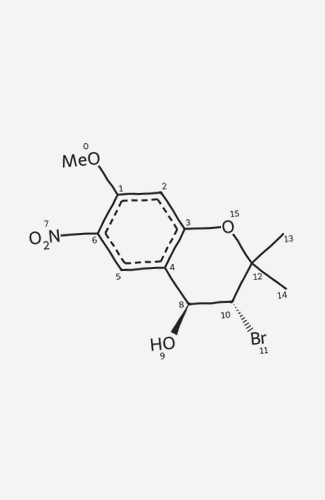 COc1cc2c(cc1[N+](=O)[O-])[C@H](O)[C@@H](Br)C(C)(C)O2